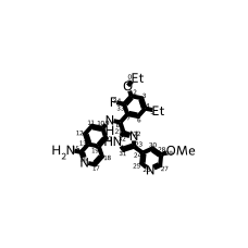 CCOc1cc(CC)cc(C(Nc2ccc3c(N)nccc3c2)c2nc(-c3cncc(OC)c3)c[nH]2)c1F